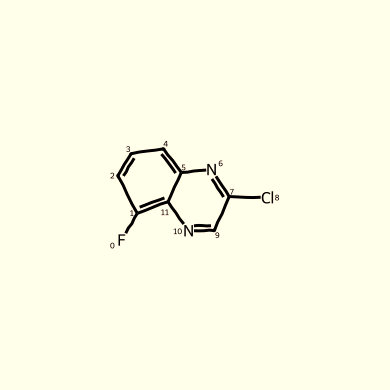 Fc1cccc2nc(Cl)cnc12